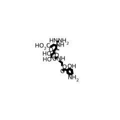 C[C@H]1[C@H]([C@H](OC(=O)NCCCOC(=O)c2cc(N)ccc2O)[C@H](O)CO)OC(C(=O)O)=C[C@@H]1NC(=N)N